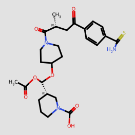 CC(=O)OC(OC1CCN(C(=O)[C@H](C)CC(=O)c2ccc(C(N)=S)cc2)CC1)[C@H]1CCCN(C(=O)O)C1